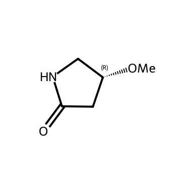 CO[C@H]1CNC(=O)C1